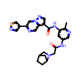 Cc1ncc(NC(=O)CN2CC3CCC2C3)cc1NC(=O)c1cnn2cc(-c3cnsc3)ncc12